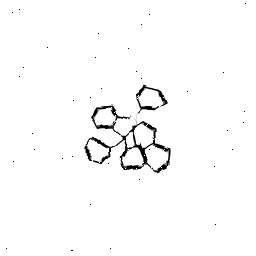 C1=CC2(Cc3ccccc31)N(c1ccccc1)c1ccccc1C2(c1ccccc1)c1ccccc1